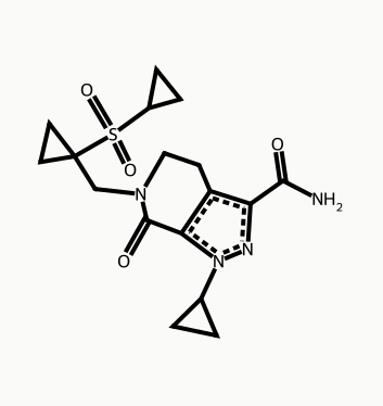 NC(=O)c1nn(C2CC2)c2c1CCN(CC1(S(=O)(=O)C3CC3)CC1)C2=O